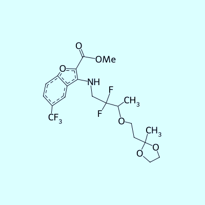 COC(=O)c1oc2ccc(C(F)(F)F)cc2c1NCC(F)(F)C(C)OCCC1(C)OCCO1